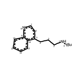 CC(C)(C)NCCCc1ccnc2ccccc12